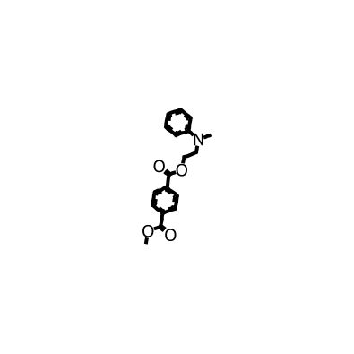 COC(=O)c1ccc(C(=O)OCCN(C)c2ccccc2)cc1